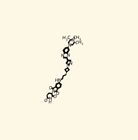 C[C@@H]1CN(c2ccc3ncc(-c4cnn([C@H]5C[C@H](CCCNc6ccc7c(c6)C(=O)N(C6CCC(=O)NC6=O)C7=O)C5)c4)nc3c2)C[C@H](C)N1C